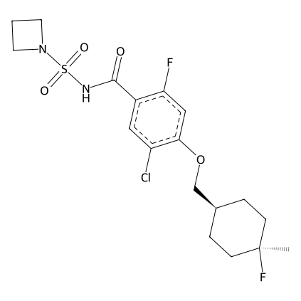 C[C@]1(F)CC[C@@H](COc2cc(F)c(C(=O)NS(=O)(=O)N3CCC3)cc2Cl)CC1